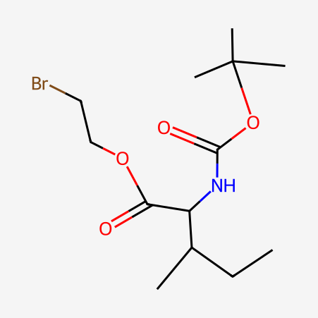 CCC(C)C(NC(=O)OC(C)(C)C)C(=O)OCCBr